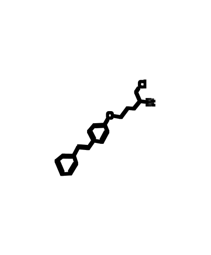 CCC(CCl)CCCOc1ccc(C=Cc2ccccc2)cc1